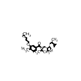 COCCCOc1cc(C(=O)N(C[C@@H]2CNC[C@H]2C[C@H](C)C2CC2)C(C)C)ccc1C